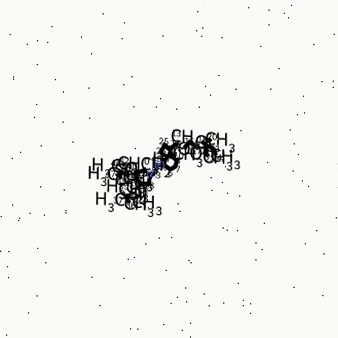 C=C1/C(=C\C=C2/CCC[C@]3(C)C(C(C)OCC(=O)OC(C)(CC)CC)=CC[C@@H]23)C[C@@H](O[Si](C)(C)C(C)(C)C)C[C@@H]1O[Si](C)(C)C(C)(C)C